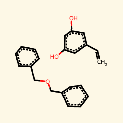 C=Cc1cc(O)cc(O)c1.c1ccc(COCc2ccccc2)cc1